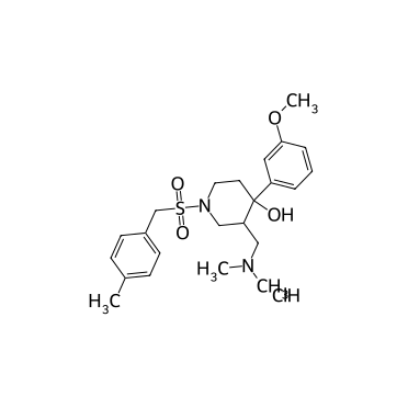 COc1cccc(C2(O)CCN(S(=O)(=O)Cc3ccc(C)cc3)CC2CN(C)C)c1.Cl